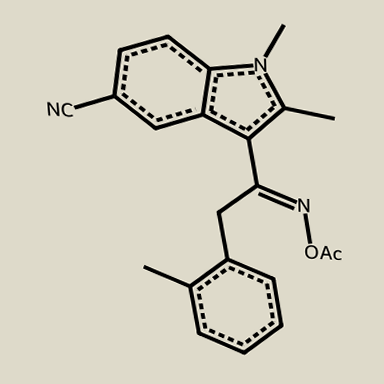 CC(=O)O/N=C(\Cc1ccccc1C)c1c(C)n(C)c2ccc(C#N)cc12